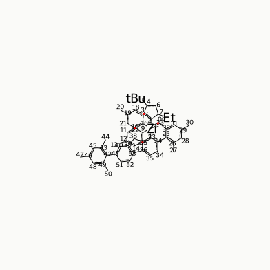 [CH2]=[Zr]([C]1=CC(C(C)(C)C)=CC1CC)([c]1ccc(C)cc1)([c]1ccc(C)cc1)[c]1c(-c2c(C)cc(C)cc2C)ccc2c1Cc1cc(-c3c(C)cc(C)cc3C)ccc1-2